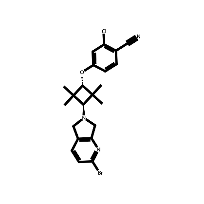 CC1(C)[C@H](Oc2ccc(C#N)c(Cl)c2)C(C)(C)[C@H]1N1Cc2ccc(Br)nc2C1